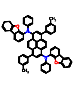 Cc1cccc(-c2cc(N(c3ccccc3)c3cccc4c5c(oc34)CCC=C5)c3ccc4c(-c5cccc(C)c5)cc(N(c5ccccc5)c5cccc6c5oc5ccccc56)c5ccc2c3c45)c1